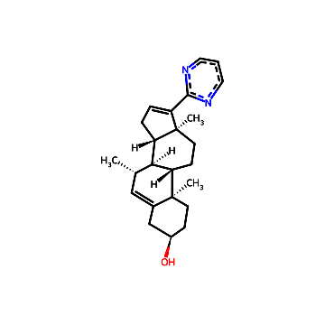 C[C@H]1C=C2C[C@H](O)CC[C@]2(C)[C@H]2CC[C@]3(C)C(c4ncccn4)=CC[C@H]3[C@H]12